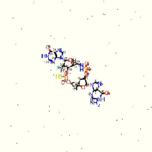 Nc1nc2c(ncn2[C@@H]2O[C@@H]3COP(=O)(S)O[C@H]4[C@@H](F)[C@H](n5cnc6c(=O)[nH]cnc65)O[C@@H]4CNS(=O)(=O)O[C@@H]2C3)c(=O)[nH]1